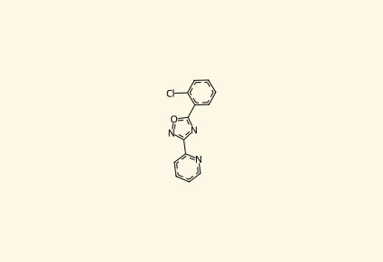 Clc1ccccc1-c1nc(-c2ccccn2)no1